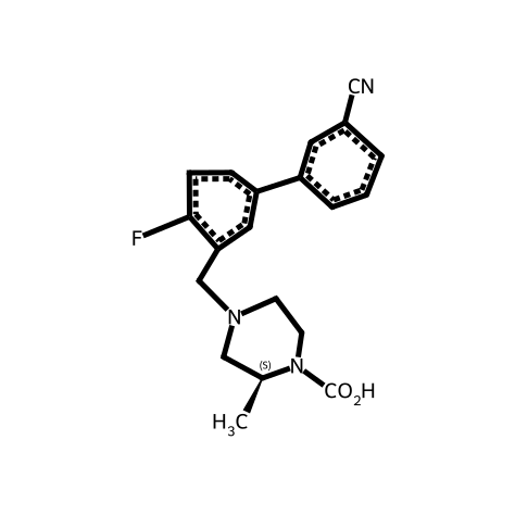 C[C@H]1CN(Cc2cc(-c3cccc(C#N)c3)ccc2F)CCN1C(=O)O